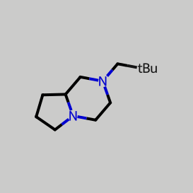 CC(C)(C)CN1CCN2CCCC2C1